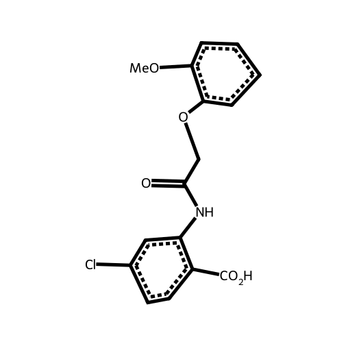 COc1ccccc1OCC(=O)Nc1cc(Cl)ccc1C(=O)O